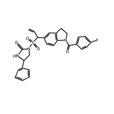 C=CC(c1ccc2c(c1)CCN2C(=O)c1ccc(F)cc1)S(=O)(=O)N1CC(c2ccccc2)NC1=O